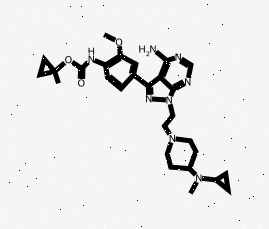 COc1cc(-c2nn(CCN3CCC(N(C)C4CC4)CC3)c3ncnc(N)c23)ccc1NC(=O)OC1(C)CC1